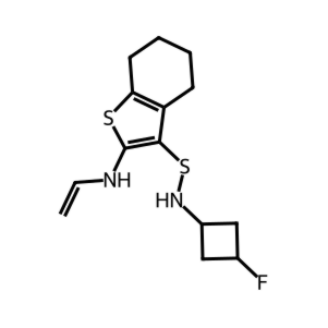 C=CNc1sc2c(c1SNC1CC(F)C1)CCCC2